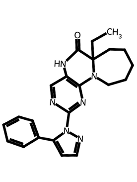 CCC12CCCCCN1c1nc(-n3nccc3-c3ccccc3)ncc1NC2=O